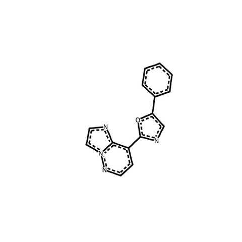 c1ccc(-c2cnc(-c3ccnn4ccnc34)o2)cc1